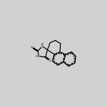 O=C1NC(=O)C2(CCCc3c2ccc2ccccc32)N1